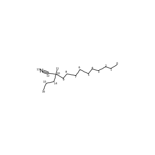 CCCCCCCCCCC(C)(C#N)CCC